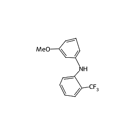 COc1cccc(Nc2ccccc2C(F)(F)F)c1